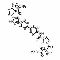 COC(=O)N[C@H](C(=O)N1CC[C@H](C(=O)Nc2ccc(-c3ccc(-c4c[nH]c([C@@H]5CCCN5C(=O)[C@@H](C)C(C)C)n4)cc3)cn2)C1)C(C)C